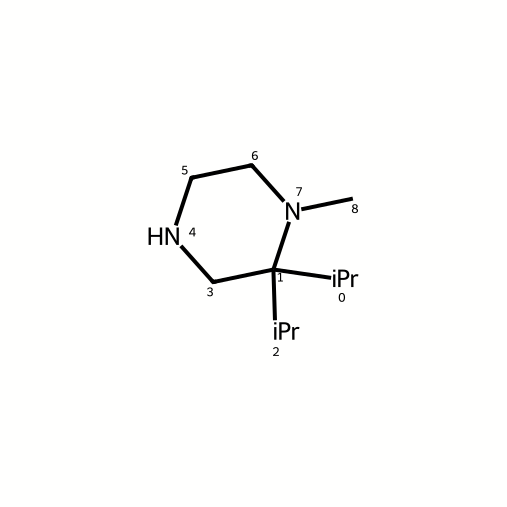 CC(C)C1(C(C)C)CNCCN1C